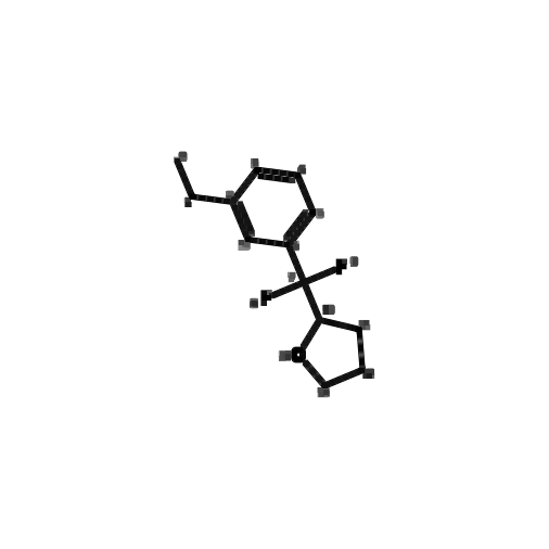 CCc1cccc(C(F)(F)C2CCCO2)c1